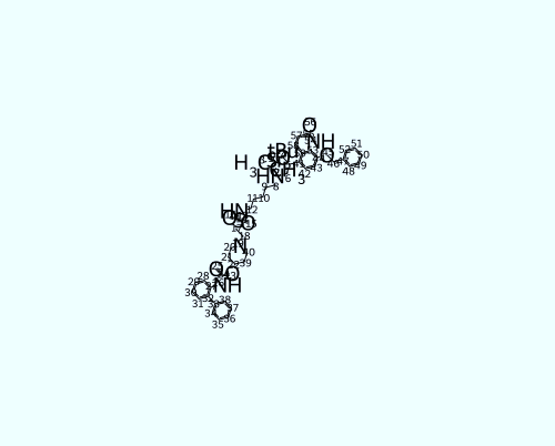 CC(C)(C)[Si](C)(C)O[C@H](CNCCCCCNS(=O)(=O)CCN1CCC(OC(=O)Nc2ccccc2-c2ccccc2)CC1)c1ccc(OCc2ccccc2)c2[nH]c(=O)ccc12